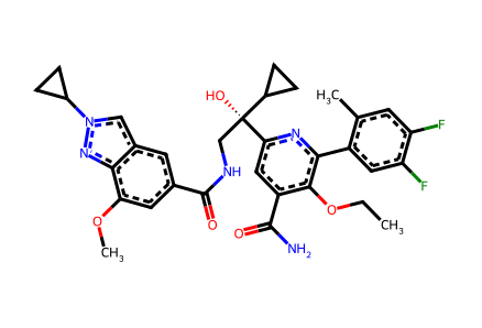 CCOc1c(C(N)=O)cc([C@@](O)(CNC(=O)c2cc(OC)c3nn(C4CC4)cc3c2)C2CC2)nc1-c1cc(F)c(F)cc1C